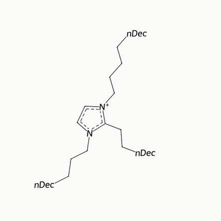 CCCCCCCCCCCCCC[n+]1ccn(CCCCCCCCCCCCC)c1CCCCCCCCCCCC